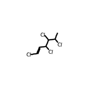 CC(Cl)C(Cl)C(Cl)C=CCl